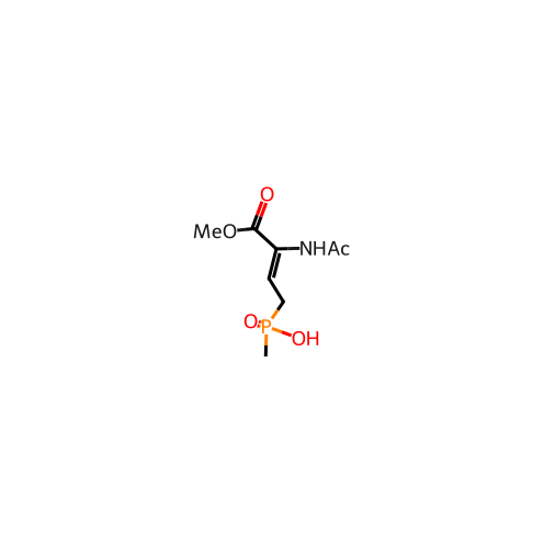 COC(=O)C(=CCP(C)(=O)O)NC(C)=O